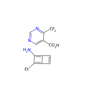 CCc1c2ccc-2c1N.O=C(O)c1cncnc1C(F)(F)F